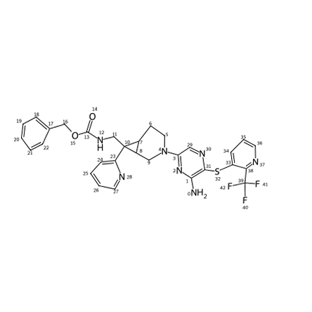 Nc1nc(N2CCC3C(C2)C3(CNC(=O)OCc2ccccc2)c2ccccn2)cnc1Sc1cccnc1C(F)(F)F